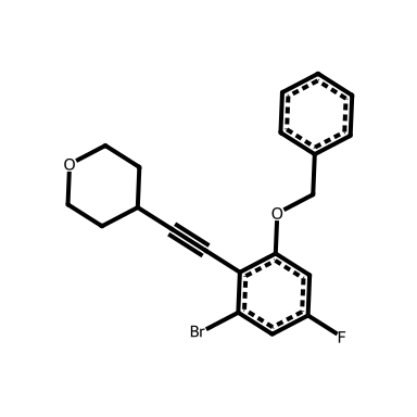 Fc1cc(Br)c(C#CC2CCOCC2)c(OCc2ccccc2)c1